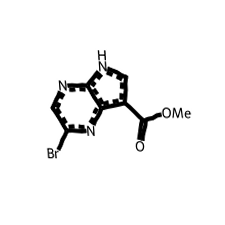 COC(=O)c1c[nH]c2ncc(Br)nc12